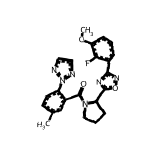 COc1cccc(-c2noc(C3CCCN3C(=O)c3cc(C)ccc3-n3nccn3)n2)c1F